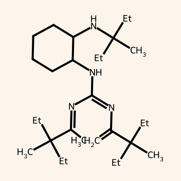 C=C(/N=C(\N=C(/C)C(C)(CC)CC)NC1CCCCC1NC(C)(CC)CC)C(C)(CC)CC